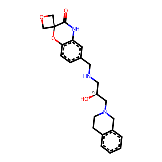 O=C1Nc2cc(CNC[C@H](O)CN3CCc4ccccc4C3)ccc2OC12COC2